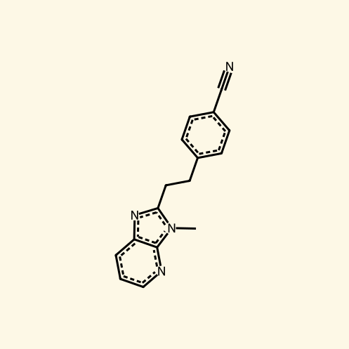 Cn1c(CCc2ccc(C#N)cc2)nc2cccnc21